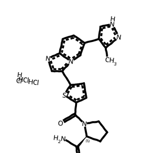 Cc1n[nH]cc1-c1ccc2ncc(-c3ccc(C(=O)N4CCC[C@H]4C(N)=O)s3)n2c1.Cl.Cl.Cl